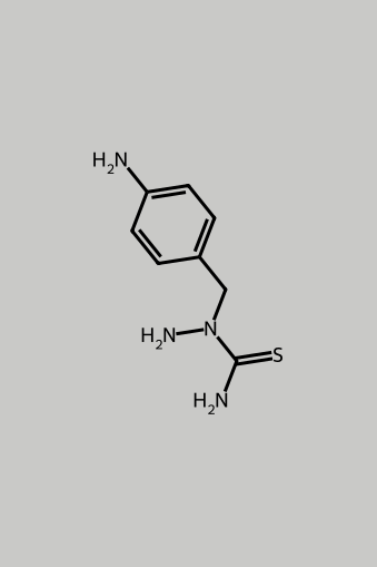 NC(=S)N(N)Cc1ccc(N)cc1